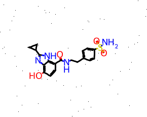 NS(=O)(=O)c1ccc(CCNC(=O)c2ccc(O)c3nc(C4CC4)[nH]c23)cc1